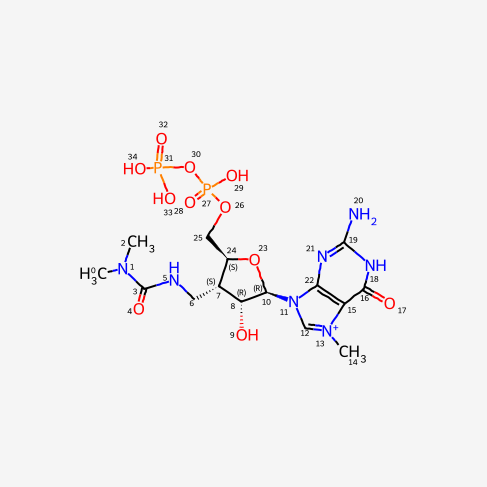 CN(C)C(=O)NC[C@H]1[C@@H](O)[C@H](n2c[n+](C)c3c(=O)[nH]c(N)nc32)O[C@@H]1COP(=O)(O)OP(=O)(O)O